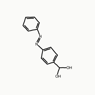 OC(O)c1ccc(N=Nc2ccccc2)cc1